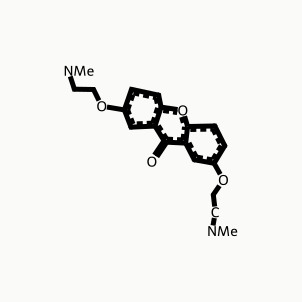 CNCCOc1ccc2oc3ccc(OCCNC)cc3c(=O)c2c1